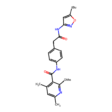 COc1nc(C)cc(C)c1C(=O)Nc1ccc(CC(=O)Nc2cc(C(C)(C)C)on2)cc1